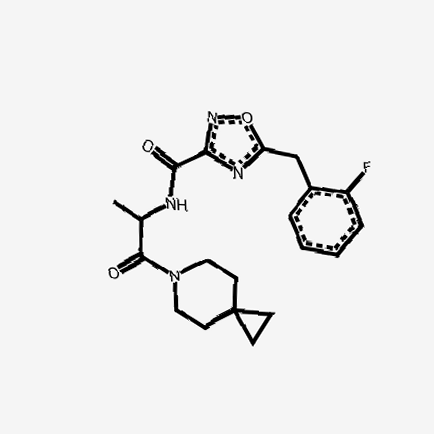 CC(NC(=O)c1noc(Cc2ccccc2F)n1)C(=O)N1CCC2(CC1)CC2